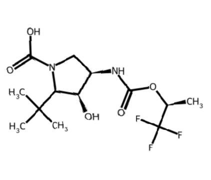 C[C@H](OC(=O)N[C@@H]1CN(C(=O)O)C(C(C)(C)C)[C@@H]1O)C(F)(F)F